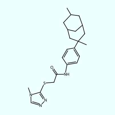 CC1CC2CC(C1)CC(C)(c1ccc(NC(=O)CSc3nncn3C)cc1)C2